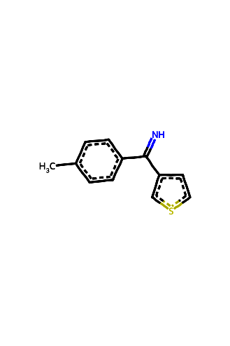 Cc1ccc(C(=N)c2ccsc2)cc1